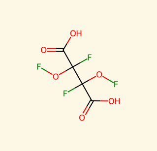 O=C(O)C(F)(OF)C(F)(OF)C(=O)O